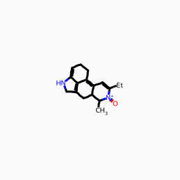 CCC1=CC2=C3CCC=C4NCC(=C43)CC2C(C)[N+]1=O